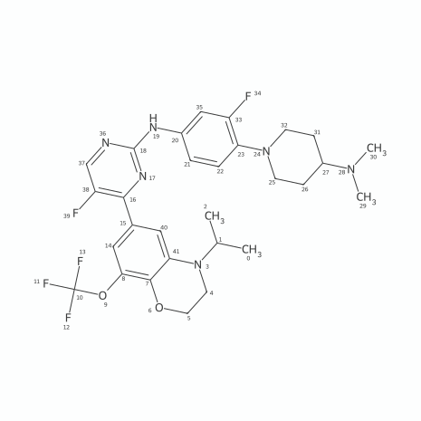 CC(C)N1CCOc2c(OC(F)(F)F)cc(-c3nc(Nc4ccc(N5CCC(N(C)C)CC5)c(F)c4)ncc3F)cc21